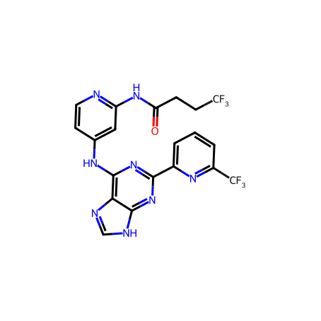 O=C(CCC(F)(F)F)Nc1cc(Nc2nc(-c3cccc(C(F)(F)F)n3)nc3[nH]cnc23)ccn1